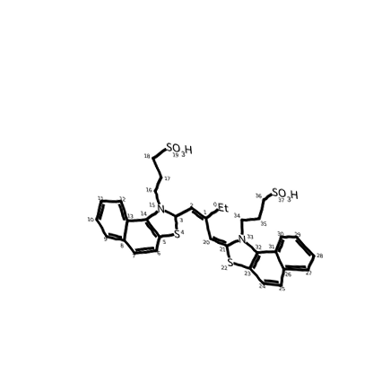 CCC(=CC1Sc2ccc3ccccc3c2N1CCCS(=O)(=O)O)C=C1Sc2ccc3ccccc3c2N1CCCS(=O)(=O)O